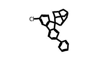 Clc1ccc2c(c1)-c1ccc(-c3ccccc3)cc1C21C2CC3CC4CC1C4(C3)C2